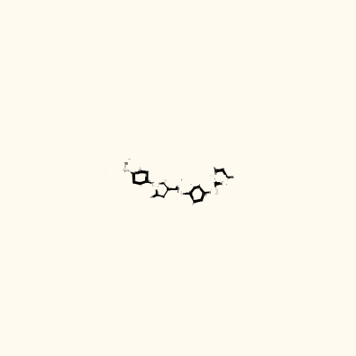 Cc1cc(C)nc(Nc2ccc(NC(=O)C3CC(=O)N(c4ccc(N(C)C)cc4)C3)cc2)n1